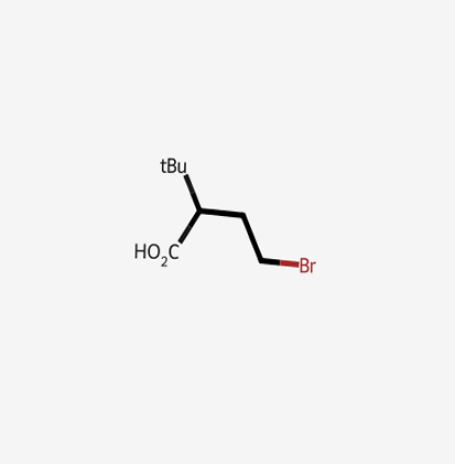 CC(C)(C)C(CCBr)C(=O)O